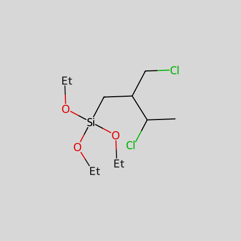 CCO[Si](CC(CCl)C(C)Cl)(OCC)OCC